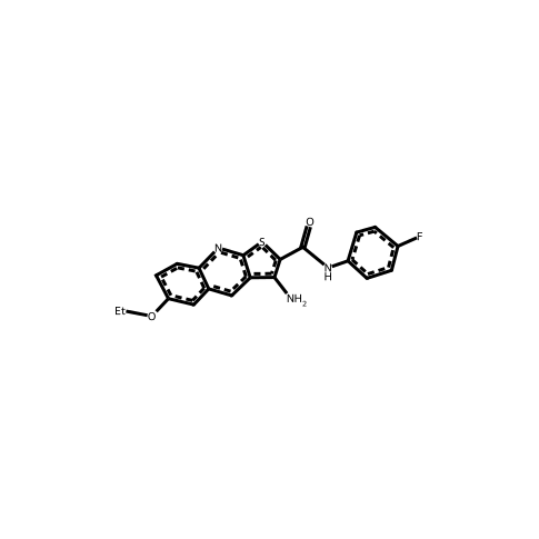 CCOc1ccc2nc3sc(C(=O)Nc4ccc(F)cc4)c(N)c3cc2c1